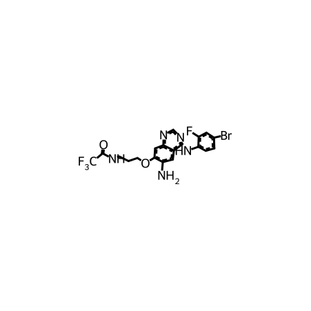 Nc1cc2c(Nc3ccc(Br)cc3F)ncnc2cc1OCCCNC(=O)C(F)(F)F